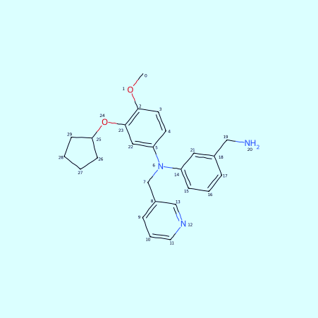 COc1ccc(N(Cc2cccnc2)c2cccc(CN)c2)cc1OC1CCCC1